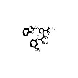 CC(C)(C)C(Nc1cccc(C(F)(F)F)c1)C(=O)N1C[C@H](Oc2nc3ccccc3s2)C[C@H]1C(N)=O